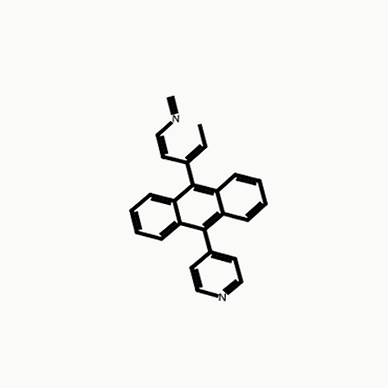 C=N/C=C\C(=C/C)c1c2ccccc2c(-c2ccncc2)c2ccccc12